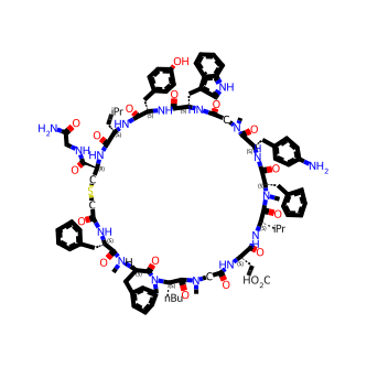 CCCC[C@H]1C(=O)N(C)CC(=O)N[C@@H](CC(=O)O)C(=O)N[C@@H](C(C)C)C(=O)N(C)[C@@H](Cc2ccccc2)C(=O)N[C@@H](Cc2ccc(N)cc2)C(=O)N(C)CC(=O)N[C@@H](Cc2c[nH]c3ccccc23)C(=O)N[C@@H](Cc2ccc(O)cc2)C(=O)N[C@@H](CC(C)C)C(=O)N[C@H](C(=O)NCC(N)=O)CSCC(=O)N[C@@H](Cc2ccccc2)C(=O)N(C)[C@H]2Cc3cccc(c3)N1C2=O